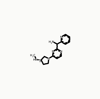 CN[C@@H]1CCN(c2ccnc(C(N)c3ccccn3)n2)C1